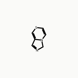 C1=CN2CN=CC2=CS1